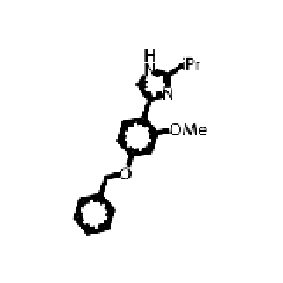 COc1cc(OCc2ccccc2)ccc1-c1c[nH]c(C(C)C)n1